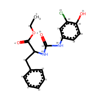 CCOC(=O)C(Cc1ccccc1)NC(=O)Nc1ccc(O)c(Cl)c1